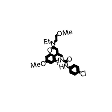 CCN(CCOC)C(=O)CC(CNC(=O)Nc1ccc(Cl)cc1)c1ccc(OC)cc1F